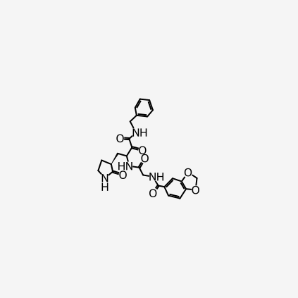 O=C(CNC(=O)c1ccc2c(c1)OCO2)NC(C[C@@H]1CCNC1=O)C(=O)C(=O)NCc1ccccc1